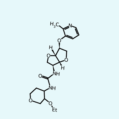 CCOC1COCCC1NC(=O)N[C@H]1CO[C@H]2[C@@H]1OC[C@@H]2Oc1cccnc1C